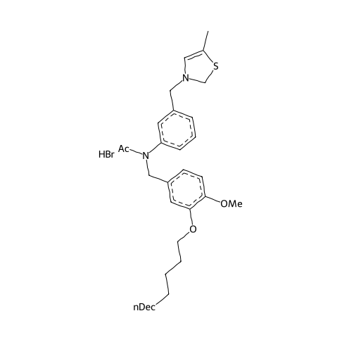 Br.CCCCCCCCCCCCCCOc1cc(CN(C(C)=O)c2cccc(CN3C=C(C)SC3)c2)ccc1OC